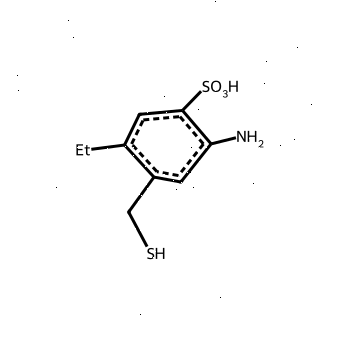 CCc1cc(S(=O)(=O)O)c(N)cc1CS